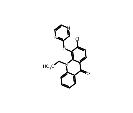 O=C(O)Cn1c2ccccc2c(=O)c2ccc(Cl)c(Oc3cnccn3)c21